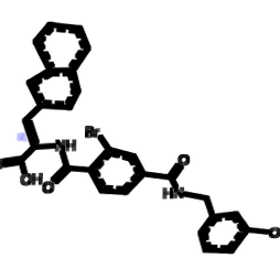 O=C(O)/C(=C/c1ccc2ccccc2c1)NC(=O)c1ccc(C(=O)NCc2cccc(O)c2)cc1Br